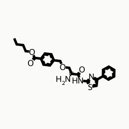 CCCCOC(=O)c1ccc(COC[C@H](N)C(=O)Nc2nc(-c3ccccc3)cs2)cc1